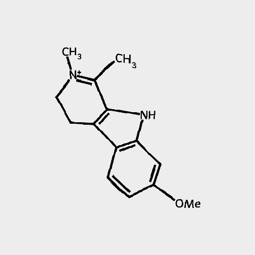 COc1ccc2c3c([nH]c2c1)C(C)=[N+](C)CC3